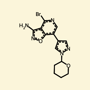 Nc1noc2c(-c3cnn(C4CCCCO4)c3)cnc(Br)c12